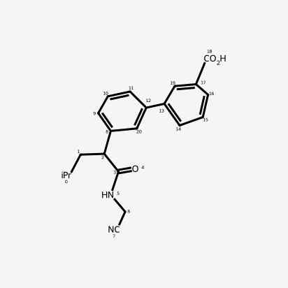 CC(C)CC(C(=O)NCC#N)c1cccc(-c2cccc(C(=O)O)c2)c1